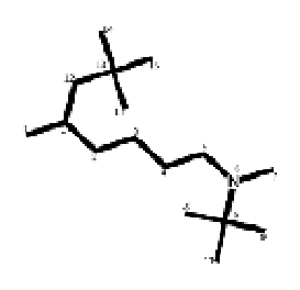 CC(CCCCN(C)C(C)(C)C)CC(C)(C)C